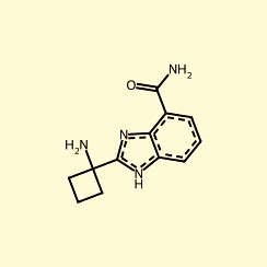 NC(=O)c1cccc2[nH]c(C3(N)CCC3)nc12